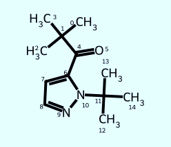 CC(C)(C)C(=O)c1ccnn1C(C)(C)C